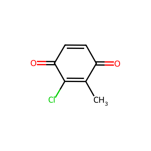 CC1=C(Cl)C(=O)C=CC1=O